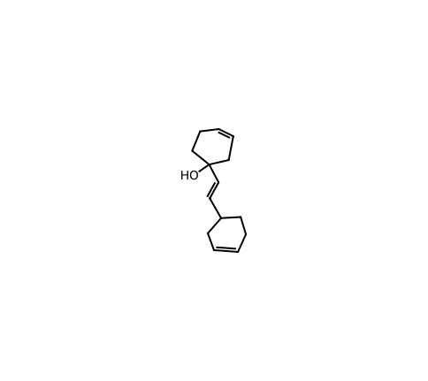 OC1(/C=C/C2CC=CCC2)CC=CCC1